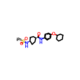 CC(C)S(=O)(=O)N[C@H]1CC[C@H](C(=O)Nc2ccc(OC3CCCCC3)cc2)CC1